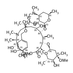 CC[C@H]1OC(=O)[C@H](C)[C@@H](O[C@H]2C[C@@](C)(OC)[C@@H](O)[C@H](C)O2)[C@H](C)[C@@H](O[C@@H]2O[C@H](C)C[C@H](N(C)C)[C@H]2OC(=O)[C@@H](C)OCc2ccc(OC)cc2)[C@](C)(O)C[C@@H](C)CN(C)[C@H](C)[C@@H](O)[C@]1(C)O